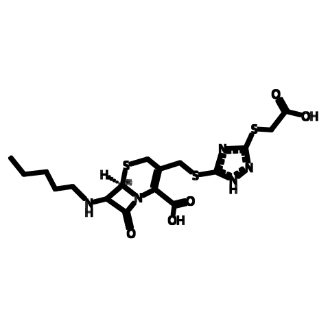 CCCCCNC1C(=O)N2C(C(=O)O)=C(CSc3nc(SCC(=O)O)n[nH]3)CS[C@H]12